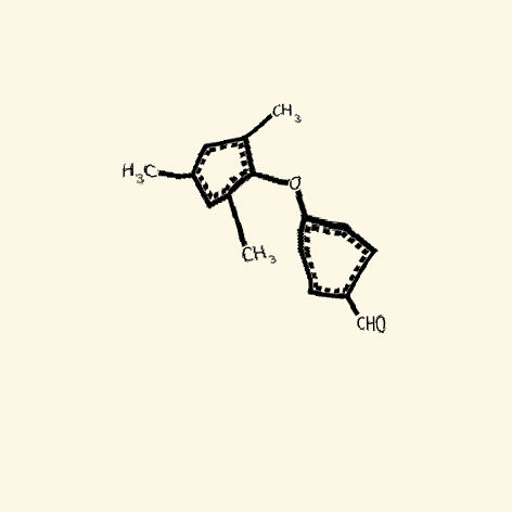 Cc1cc(C)c(Oc2ccc(C=O)cc2)c(C)c1